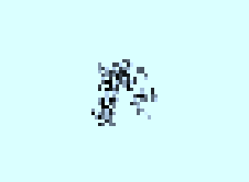 CC[C@H]1O[C@@H](n2ccc(NC(C)=O)nc2=O)[C@@H](F)C1OP(OCCSC(=O)C(C)(C)C)N(C(C)C)C(C)C